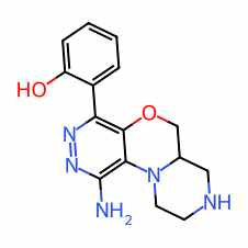 Nc1nnc(-c2ccccc2O)c2c1N1CCNCC1CO2